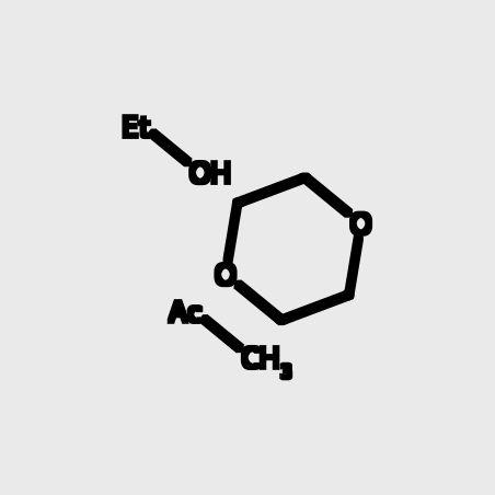 C1COCCO1.CC(C)=O.CCO